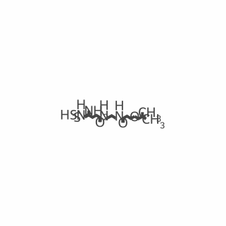 CC(C)COCCC(=O)NCCCNC(=O)CC/C(N)=C/NSS